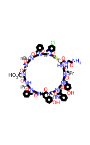 CCCC[C@H]1C(=O)N(C)CC(=O)N[C@@H](CC(=O)O)C(=O)N[C@@H](C(C)C)C(=O)N(C)[C@@H](Cc2ccccc2)C(=O)N[C@H]2Cc3ccc(O)cc3N(CC(=O)N[C@@H](Cc3c[nH]c4ccccc34)C(=O)N[C@@H](Cc3ccc(O)cc3)C(=O)N[C@@H](CC(C)C)C(=O)N[C@H](C(=O)NCC(N)=O)CSCC(=O)N[C@@H](Cc3cccc(Cl)c3)C(=O)N(C)[C@@H](Cc3ccccc3)C(=O)N1C)C2=O